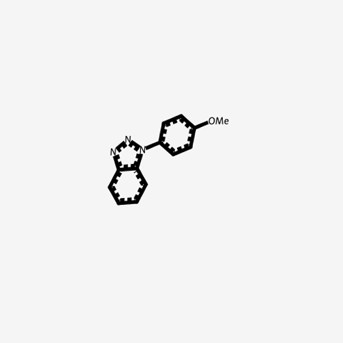 COc1ccc(-n2nnc3ccccc32)cc1